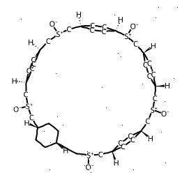 [O-][S+]1C[C@H]2CC[C@H](CC2)C[S+]([O-])C[C@H]2CC[C@H](CC2)C[S+]([O-])C[C@H]2CC[C@H](CC2)[S+]([O-])C[C@@H]2CC[C@@H](CC2)C[S+]([O-])C[C@@H]2CC[C@@H](CC2)C1